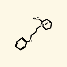 CC(=O)OC1CC2CC[N+]1(CCCOc1ccccc1)CC2